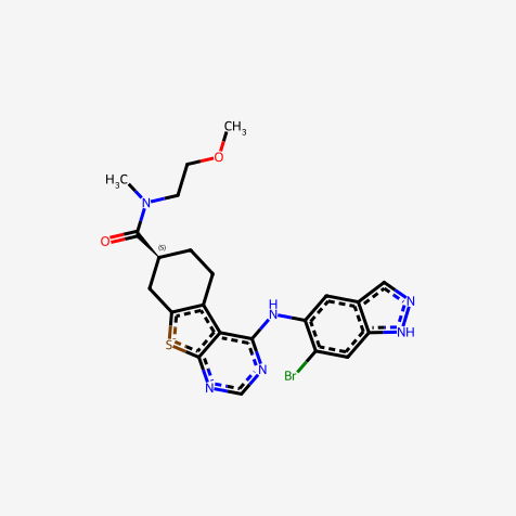 COCCN(C)C(=O)[C@H]1CCc2c(sc3ncnc(Nc4cc5cn[nH]c5cc4Br)c23)C1